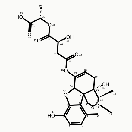 Cc1ccc(O)c2c1C13CCN(C)[C@H](C)[C@]1(O)CC=C(OC(=O)C[C@H](O)C(=O)O[C@@H](C)C(=O)O)C3O2